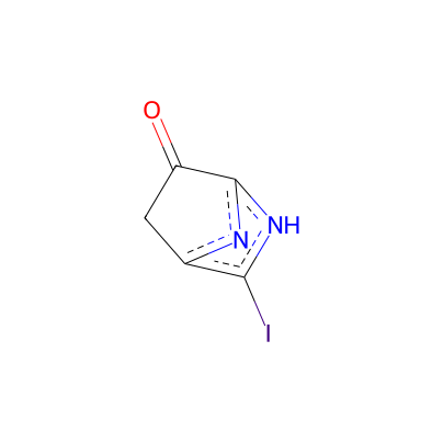 O=C1Cc2nc1[nH]c2I